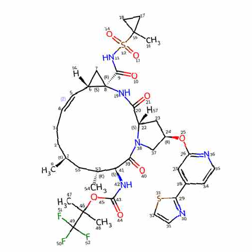 C[C@H]1CC/C=C\[C@@H]2C[C@@]2(C(=O)NS(=O)(=O)C2(C)CC2)NC(=O)[C@@H]2C[C@@H](Oc3cc(-c4nccs4)ccn3)CN2C(=O)[C@@H](NC(=O)OC(C)(C)C(F)(F)F)[C@H](C)C1